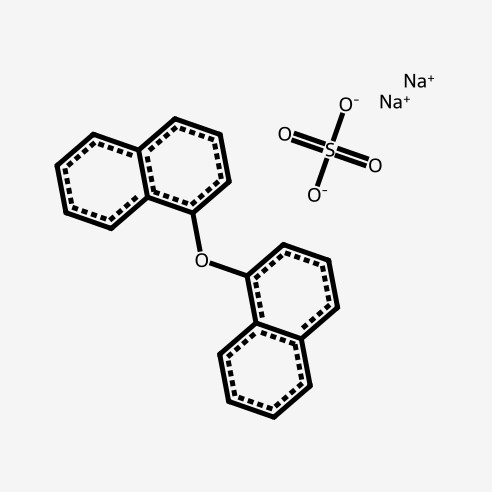 O=S(=O)([O-])[O-].[Na+].[Na+].c1ccc2c(Oc3cccc4ccccc34)cccc2c1